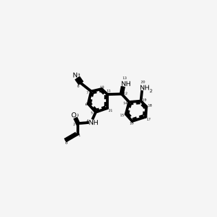 C=CC(=O)Nc1cc(C#N)cc(C(=N)c2ccccc2N)c1